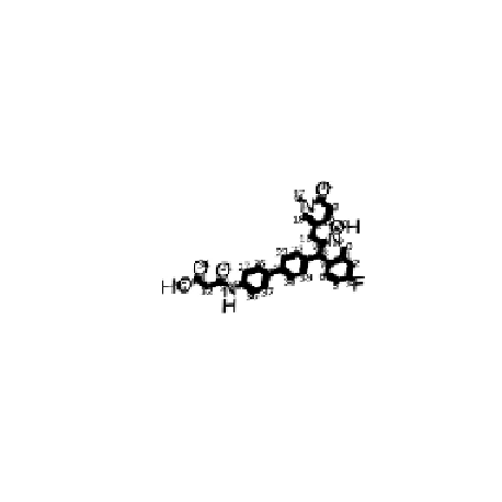 Cc1cc(F)ccc1C(C(Cc1ccc(=O)n(C)c1)=NO)c1ccc(-c2ccc(NC(=O)CC(=O)O)cc2)cc1